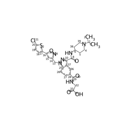 CC(C)N1CCC(NC(=O)c2nn(Cc3cc(-c4ccc(Cl)s4)on3)c3ccc(C(=O)NCC(=O)O)cc23)CC1